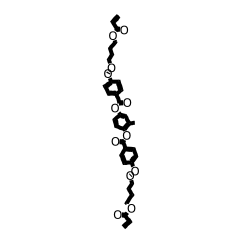 C=CC(=O)OCCCCOOc1ccc(C(=O)Oc2ccc(OC(=O)c3ccc(OOCCCCOC(=O)C=C)cc3)c(C)c2)cc1